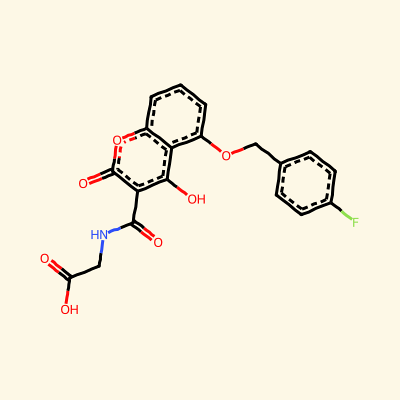 O=C(O)CNC(=O)c1c(O)c2c(OCc3ccc(F)cc3)cccc2oc1=O